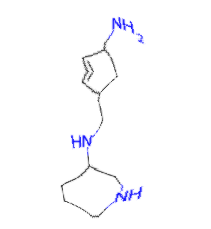 NC1C=CC(CNC2CCCNC2)C1